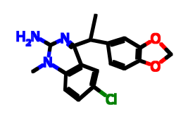 CC(C1=NC(N)N(C)c2ccc(Cl)cc21)c1ccc2c(c1)OCO2